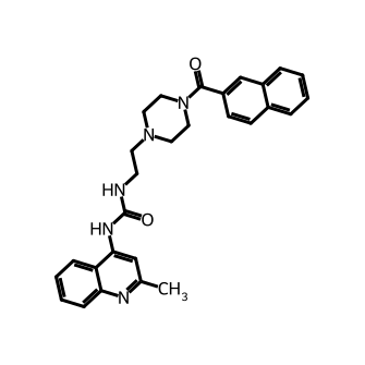 Cc1cc(NC(=O)NCCN2CCN(C(=O)c3ccc4ccccc4c3)CC2)c2ccccc2n1